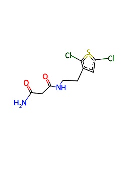 NC(=O)CC(=O)NCCc1cc(Cl)sc1Cl